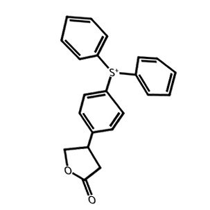 O=C1CC(c2ccc([S+](c3ccccc3)c3ccccc3)cc2)CO1